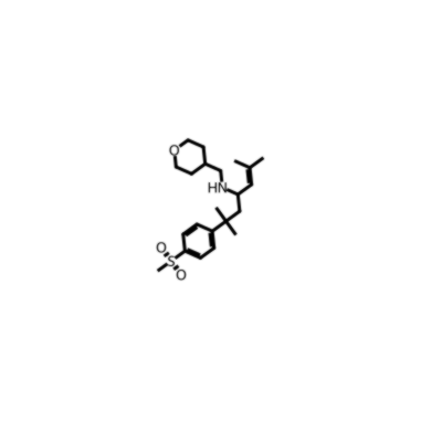 CC(C)=CC(CC(C)(C)c1ccc(S(C)(=O)=O)cc1)NCC1CCOCC1